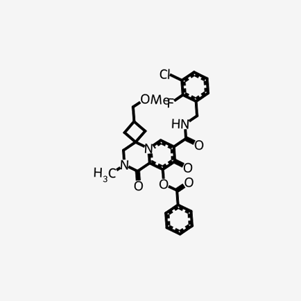 COCC1CC2(C1)CN(C)C(=O)c1c(OC(=O)c3ccccc3)c(=O)c(C(=O)NCc3cccc(Cl)c3F)cn12